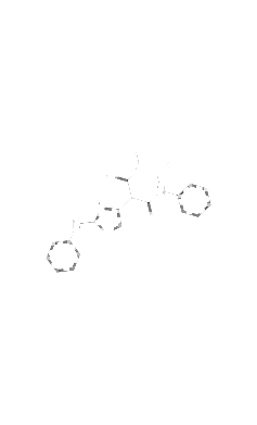 CCN(C(=O)C(C(=O)OC)c1csc(Nc2ccccc2)n1)c1ccccc1